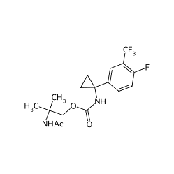 CC(=O)NC(C)(C)COC(=O)NC1(c2ccc(F)c(C(F)(F)F)c2)CC1